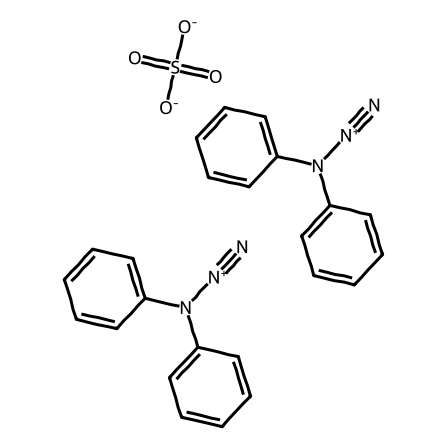 N#[N+]N(c1ccccc1)c1ccccc1.N#[N+]N(c1ccccc1)c1ccccc1.O=S(=O)([O-])[O-]